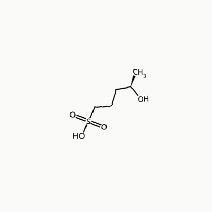 C[C@@H](O)CCCS(=O)(=O)O